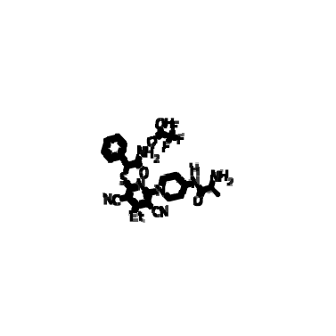 CCc1c(C#N)c(SC(C(N)=O)c2ccccc2)nc(N2CCC(NC(=O)[C@H](C)N)CC2)c1C#N.O=C(O)C(F)(F)F